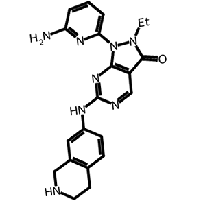 CCn1c(=O)c2cnc(Nc3ccc4c(c3)CNCC4)nc2n1-c1cccc(N)n1